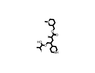 CC(I)C(O)OCC(CC(I)C(=O)OCC1CCCN(C)C1)C1CCNCC1